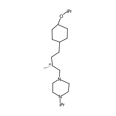 CC(C)OC1CCC(CC[C@@H](C)CN2CCN(C(C)C)CC2)CC1